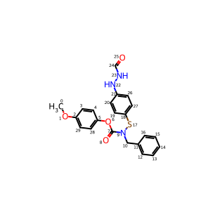 COc1ccc(OC(=O)N(Cc2ccccc2)Sc2ccc(NNC=O)cc2)cc1